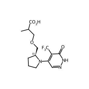 CC(COC[C@@H]1CCCN1c1cn[nH]c(=O)c1C(F)(F)F)C(=O)O